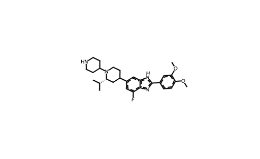 COc1ccc(-c2nc3c(F)cc(C4CCN(C5CCNCC5)[C@@H](C(C)C)C4)cc3[nH]2)cc1OC